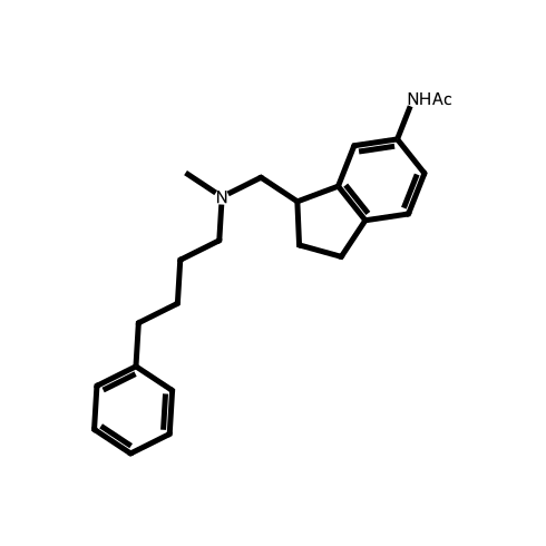 CC(=O)Nc1ccc2c(c1)C(CN(C)CCCCc1ccccc1)CC2